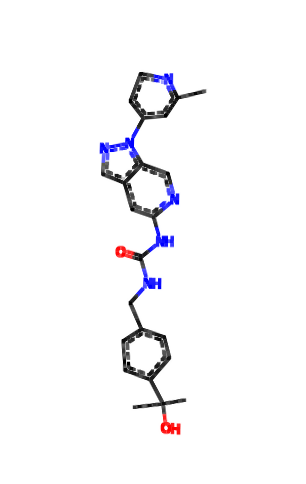 Cc1cc(-n2ncc3cc(NC(=O)NCc4ccc(C(C)(C)O)cc4)ncc32)ccn1